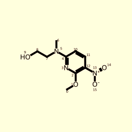 COc1nc(N(C)CCO)ccc1[N+](=O)[O-]